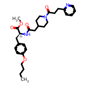 CCCCOc1ccc(C[C@H](NC(=O)CC2CCN(C(=O)CCc3ccccn3)CC2)C(=O)OC)cc1